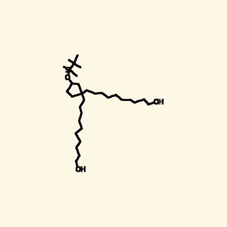 CC(C)(C)[Si](C)(C)OC1CCC(CCCCCCCCCCO)(CCCCCCCCCCO)C1